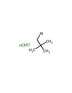 CC(C)(C)[CH2][Al].Cl.Cl